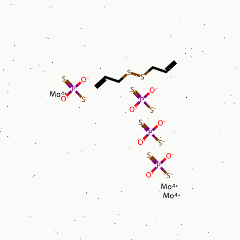 C=CCSSCC=C.[Mo+4].[Mo+4].[Mo+4].[O-]P([O-])(=S)[S-].[O-]P([O-])(=S)[S-].[O-]P([O-])(=S)[S-].[O-]P([O-])(=S)[S-]